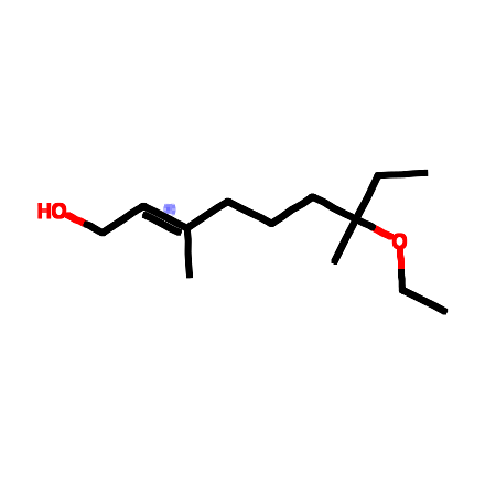 CCOC(C)(CC)CCC/C(C)=C/CO